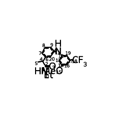 CCNC(=O)C(C)c1cccc(Nc2cc(OC)cc(C(F)(F)F)c2)c1